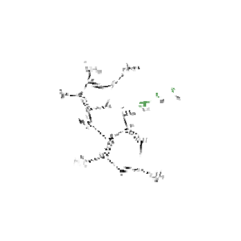 CCCCCC1=C(C)[C]([Ti+3])=C([SiH2]c2c(C)cc(C)cc2C)C1.[Cl-].[Cl-].[Cl-]